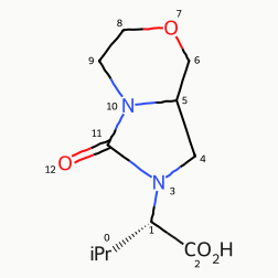 CC(C)[C@@H](C(=O)O)N1CC2COCCN2C1=O